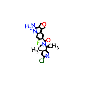 CCN(C(=O)c1cc2c3c(c(N)nc2cc1F)COC3)[C@@H](C)c1ccc(Cl)nc1